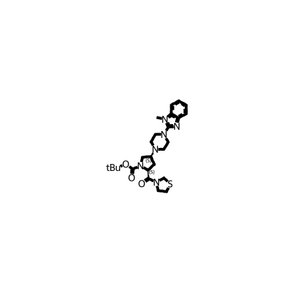 Cn1c(N2CCN([C@H]3C[C@@H](C(=O)N4CCSC4)N(C(=O)OC(C)(C)C)C3)CC2)nc2ccccc21